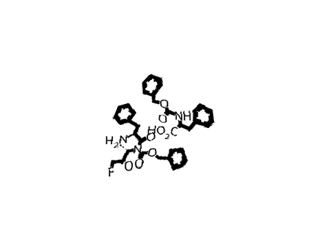 C[C@@H](C(=O)CF)N(C(=O)OCc1ccccc1)C(=O)[C@@H](N)Cc1ccccc1.O=C(NC(Cc1ccccc1)C(=O)O)OCc1ccccc1